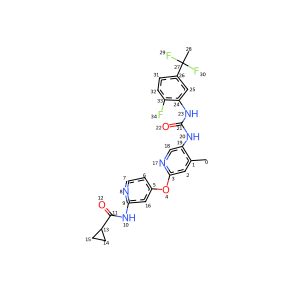 Cc1cc(Oc2ccnc(NC(=O)C3CC3)c2)ncc1NC(=O)Nc1cc(C(C)(F)F)ccc1F